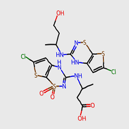 CC(CC(=O)O)NC1=NS(=O)(=O)c2sc(Cl)cc2N1.CC(CCO)NC1=NSc2sc(Cl)cc2N1